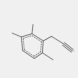 [C]#CCc1c(C)ccc(C)c1C